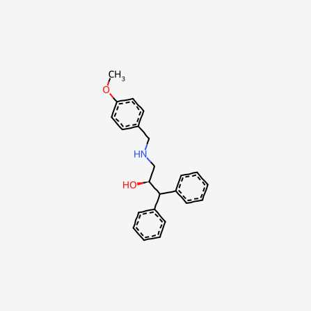 COc1ccc(CNC[C@H](O)C(c2ccccc2)c2ccccc2)cc1